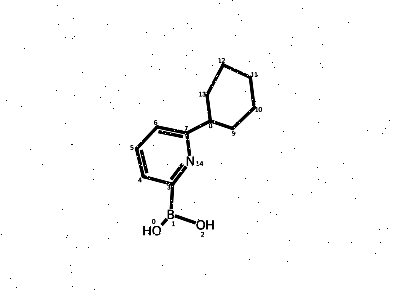 OB(O)c1cccc(C2CCCCC2)n1